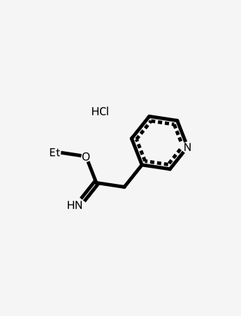 CCOC(=N)Cc1cccnc1.Cl